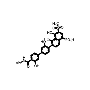 CCCNC(=O)c1ccc(-c2ccc(-c3ccc4c(S(=O)(=O)O)cc(S(C)(=O)=O)c(O)c4c3O)c(O)c2)cc1O